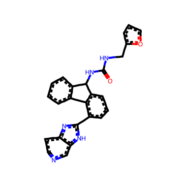 O=C(NCc1ccco1)NC1c2ccccc2-c2c(-c3nc4ccncc4[nH]3)cccc21